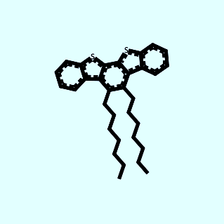 CCCCCCCc1c(CCCCCCC)c2c3ccccc3sc2c2sc3ccccc3c12